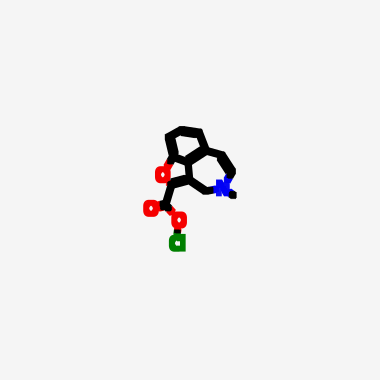 CN1C=Cc2cccc3oc(C(=O)OCl)c(c23)C1